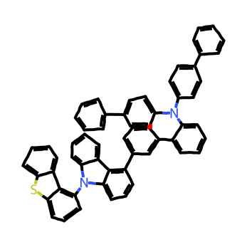 c1ccc(-c2ccc(N(c3ccc(-c4ccccc4)cc3)c3ccccc3-c3cccc(-c4cccc5c4c4ccccc4n5-c4cccc5sc6ccccc6c45)c3)cc2)cc1